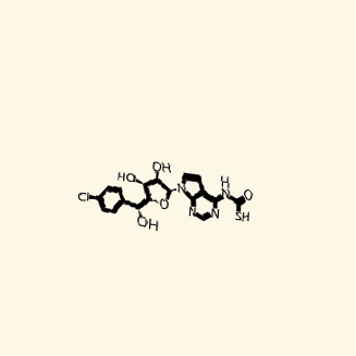 O=C(S)Nc1ncnc2c1ccn2[C@@H]1O[C@H]([C@H](O)c2ccc(Cl)cc2)[C@@H](O)[C@H]1O